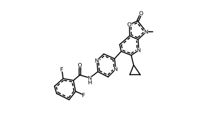 Cn1c(=O)oc2cc(-c3cnc(NC(=O)c4c(F)cccc4F)cn3)c(C3CC3)nc21